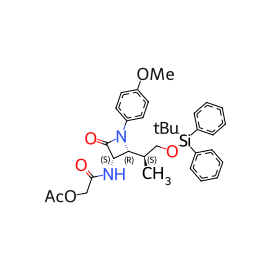 COc1ccc(N2C(=O)[C@@H](NC(=O)COC(C)=O)[C@H]2[C@H](C)CO[Si](c2ccccc2)(c2ccccc2)C(C)(C)C)cc1